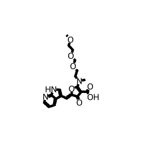 COCCOCOCCN(C)C1=C(C(=O)O)C(=O)/C(=C/c2c[nH]c3ncccc23)O1